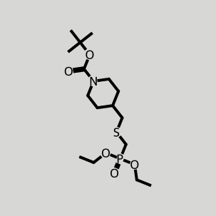 CCOP(=O)(CSCC1CCN(C(=O)OC(C)(C)C)CC1)OCC